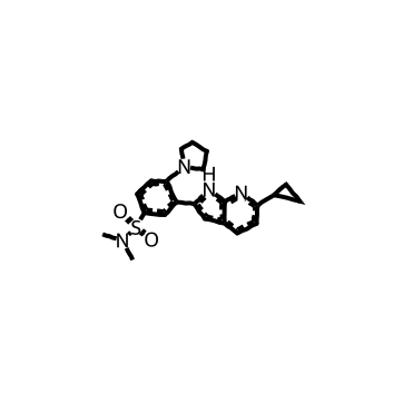 CN(C)S(=O)(=O)c1ccc(N2CCCC2)c(-c2cc3ccc(C4CC4)nc3[nH]2)c1